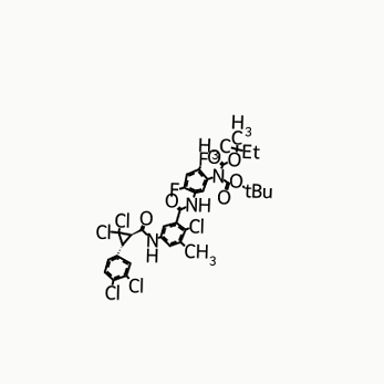 CCC(C)(C)OC(=O)N(C(=O)OC(C)(C)C)c1cc(NC(=O)c2cc(NC(=O)[C@H]3[C@H](c4ccc(Cl)c(Cl)c4)C3(Cl)Cl)cc(C)c2Cl)c(F)cc1F